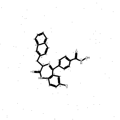 O=C(NO)c1ccc(C2=NC(Cc3ccc4ccccc4c3)C(=O)Nc3ccc(Cl)cc32)cc1